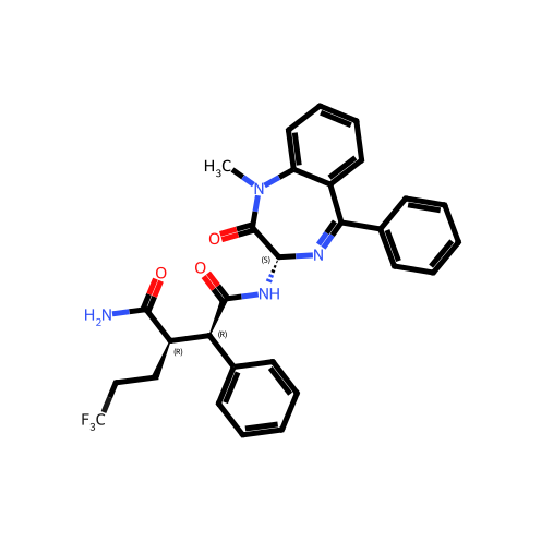 CN1C(=O)[C@@H](NC(=O)[C@@H](c2ccccc2)[C@@H](CCC(F)(F)F)C(N)=O)N=C(c2ccccc2)c2ccccc21